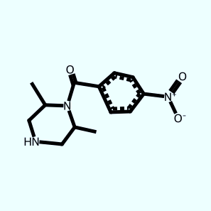 CC1CNCC(C)N1C(=O)c1ccc([N+](=O)[O-])cc1